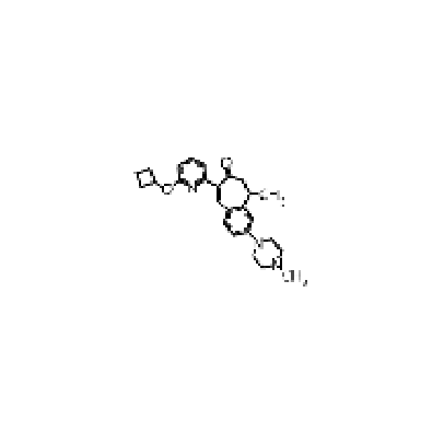 CC1CC(=O)C(c2cccc(OC3CCC3)n2)=Cc2ccc(N3CCN(C)CC3)cc21